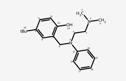 CN(C)CCN(Cc1cc(C(C)(C)C)ccc1O)c1ccccc1